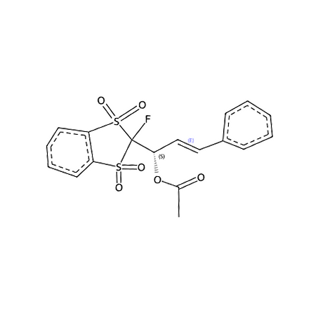 CC(=O)O[C@@H](/C=C/c1ccccc1)C1(F)S(=O)(=O)c2ccccc2S1(=O)=O